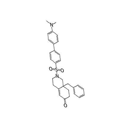 CN(C)c1ccc(-c2ccc(S(=O)(=O)N3CCC4=CC(=O)CCC4(Cc4ccccc4)C3)cc2)cc1